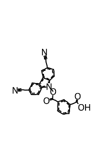 N#Cc1ccc2c(c1)c1cc(C#N)ccc1n2OC(=O)c1cccc(C(=O)O)c1